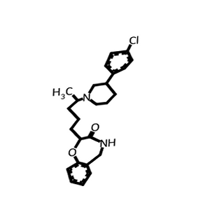 CC(CCCC1Oc2ccccc2CNC1=O)N1CCCC(c2ccc(Cl)cc2)C1